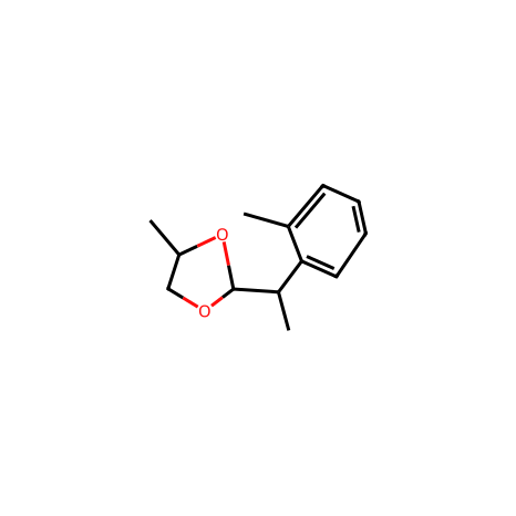 Cc1ccccc1C(C)C1OCC(C)O1